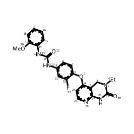 CCN1Cc2c(Oc3ccc(NC(=O)Nc4ccccc4OC)cc3F)ccnc2NC1=O